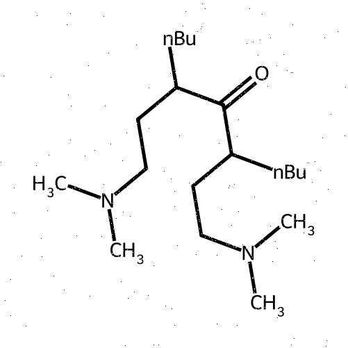 CCCCC(CCN(C)C)C(=O)C(CCCC)CCN(C)C